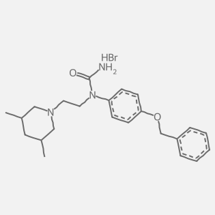 Br.CC1CC(C)CN(CCN(C(N)=O)c2ccc(OCc3ccccc3)cc2)C1